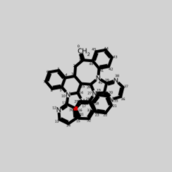 C=C1CC2c3ccccc3N3c4ncccc4N(c4ccccc4)C3C2C2N(c3ccccc3)c3nccnc3N2c2ccccc21